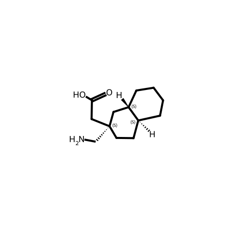 NC[C@@]1(CC(=O)O)CC[C@@H]2CCCC[C@H]2C1